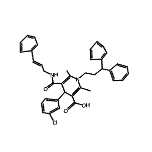 CC1=C(C(=O)O)C(c2cccc(Cl)c2)C(C(=O)NCC=Cc2ccccc2)=C(C)N1CCC(c1ccccc1)c1ccccc1